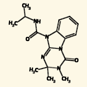 CC(C)NC(=O)N1C2=NC(C)(C)N(C)C(=O)N2c2ccccc21